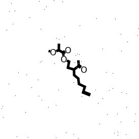 C=CCCCCC(CCOC(=O)C(C)OC)C(C)=O